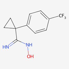 N=C(NO)C1(c2ccc(C(F)(F)F)cc2)CC1